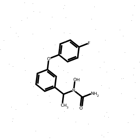 CC(c1cccc(Oc2ccc(F)cc2)c1)N(O)C(N)=O